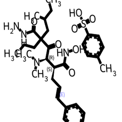 CCCC(CC(C)CC)(C(=O)NN)C(=O)[C@@H]([C@H](C/C=C/c1ccccc1)C(=O)NO)N(C)C.Cc1ccc(S(=O)(=O)O)cc1